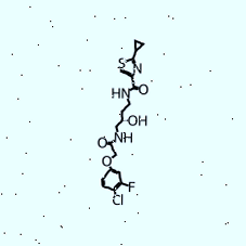 O=C(COc1ccc(Cl)c(F)c1)NC[C@@H](O)CCNC(=O)c1csc(C2CC2)n1